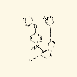 C#Cc1cnc2ccc(C#Cc3cccnc3)cc2c1Nc1ccc(Oc2ccncc2)cc1